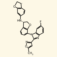 Cc1cc(-c2nc3ccc(F)cc3n2-c2cccc3c2OC[C@H]3Nc2ccc3c(c2)OC[C]3)no1